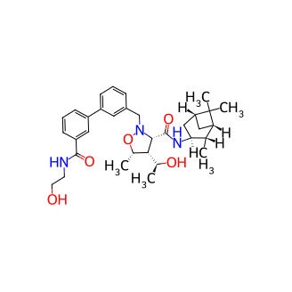 C[C@@H]1[C@@H](NC(=O)[C@@H]2[C@H]([C@H](C)O)[C@H](C)ON2Cc2cccc(-c3cccc(C(=O)NCCO)c3)c2)C[C@H]2C[C@@H]1C2(C)C